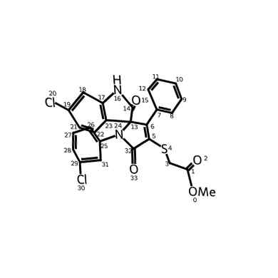 COC(=O)CSC1=C(c2ccccc2)C2(C(=O)Nc3cc(Cl)ccc32)N(c2cccc(Cl)c2)C1=O